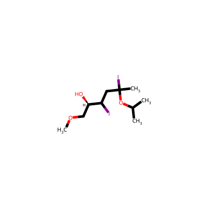 COC[C@@H](O)C(I)CC(C)(I)OC(C)C